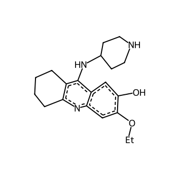 CCOc1cc2nc3c(c(NC4CCNCC4)c2cc1O)CCCC3